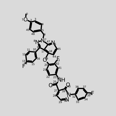 COc1ccc(Cn2nc(-c3ccc(F)cc3)c3c(Oc4ccc(NC(=O)c5ccnn(-c6ccc(F)cc6)c5=O)cc4F)ccnc32)cc1